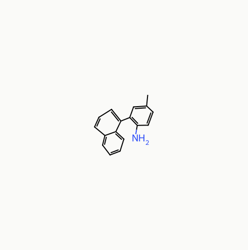 Cc1ccc(N)c(-c2cccc3ccccc23)c1